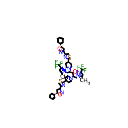 Cc1cc(C(F)(F)F)nn1CC(C(=O)C(Cn1nc(C(F)(F)F)cc1C)N1CCC(c2nc(C3=NO[C@@H](c4ccccc4)C3)cs2)CC1)N1CCC(c2nc(C3=NO[C@@H](c4ccccc4)C3)cs2)CC1